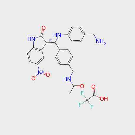 CC(=O)NCc1ccc(/C(Nc2ccc(CN)cc2)=C2/C(=O)Nc3ccc([N+](=O)[O-])cc32)cc1.O=C(O)C(F)(F)F